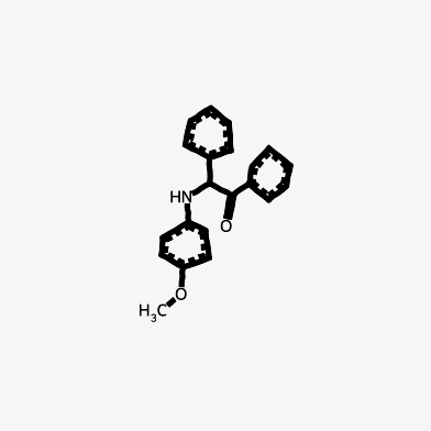 COc1ccc(NC(C(=O)c2ccccc2)c2ccccc2)cc1